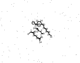 C=CCC=CC.CC=C(C)CCC=C(C)C.CCCCCCCC1CCC(C=O)O1